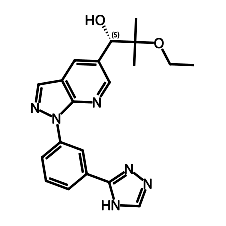 CCOC(C)(C)[C@@H](O)c1cnc2c(cnn2-c2cccc(-c3nnc[nH]3)c2)c1